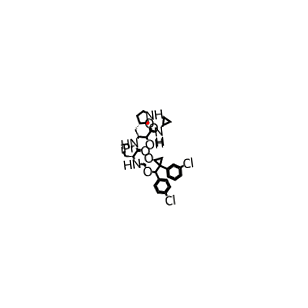 CC(C)C[C@H](NC(=O)OC(c1ccc(Cl)cc1)C1(c2cccc(Cl)c2)CC1)C(=O)N[C@@H](C[C@@H]1CCNC1=O)C(O)C(=O)NC1CC1